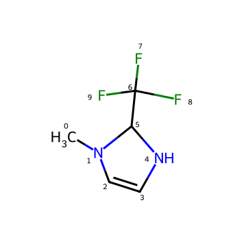 CN1C=CNC1C(F)(F)F